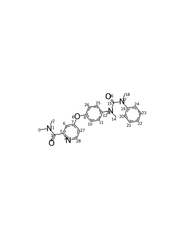 CN(C)C(=O)c1cc(Oc2ccc(N(C)C(=O)N(C)c3ccccc3)cc2)ccn1